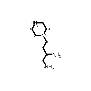 NCC(N)CCN1CCNCC1